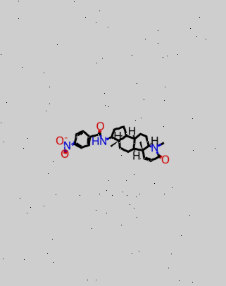 CN1C(=O)C=C[C@]2(C)[C@H]3CC[C@]4(C)C(NC(=O)c5ccc([N+](=O)[O-])cc5)CC[C@H]4[C@@H]3CC[C@@H]12